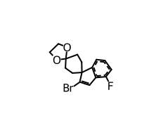 Fc1cccc2c1C=C(Br)C21CCC2(CC1)OCCO2